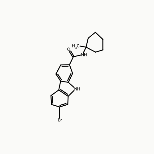 CC1(NC(=O)c2ccc3c(c2)[nH]c2cc(Br)ccc23)CCCCC1